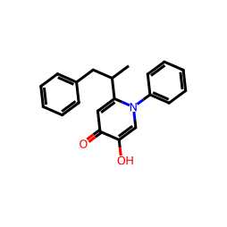 CC(Cc1ccccc1)c1cc(=O)c(O)cn1-c1ccccc1